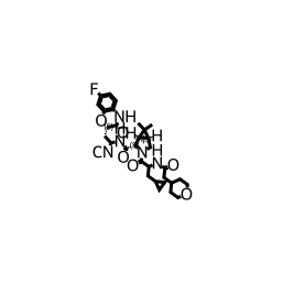 CC1(C)[C@@H]2[C@@H](C(=O)NC(C#N)C[C@@H]3Oc4cc(F)ccc4NC3=O)N(C(=O)C(CC3CC3)NC(=O)CC3CCOCC3)C[C@@H]21